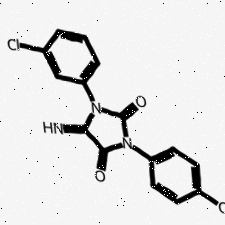 Cc1ccc(N2C(=O)C(=N)N(c3cccc(Cl)c3)C2=O)cc1